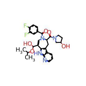 CC(C)OC(O)C1=CN(C(=O)c2ccc(F)c(F)c2)C(C(=O)N2CCC(O)C2)Cc2c1[nH]c1ncccc21